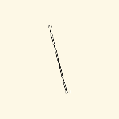 B=BB=BB=BB=BCC